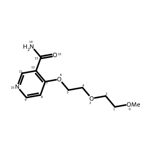 COCCOCCOc1ccncc1C(N)=O